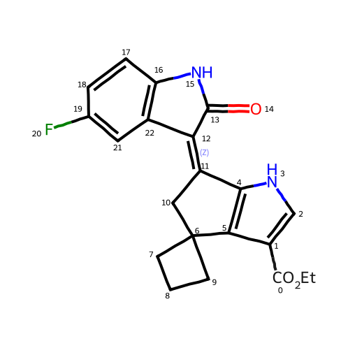 CCOC(=O)c1c[nH]c2c1C1(CCC1)C/C2=C1/C(=O)Nc2ccc(F)cc21